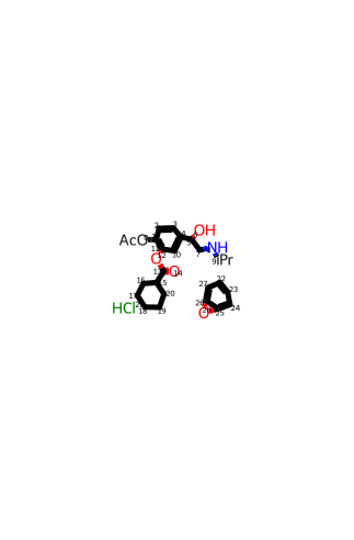 CC(=O)Oc1ccc(C(O)CNC(C)C)cc1OC(=O)C1CCCCC1.Cl.c1ccc2c(c1)O2